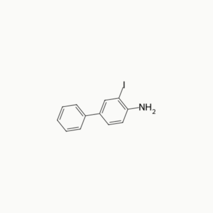 Nc1ccc(-c2ccccc2)cc1I